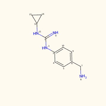 N=C(Nc1ccc(CN)cc1)NC1CC1